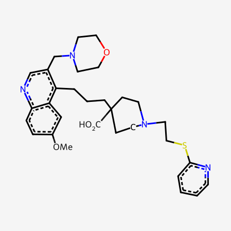 COc1ccc2ncc(CN3CCOCC3)c(CCCC3(C(=O)O)CCN(CCSc4ccccn4)CC3)c2c1